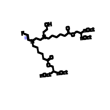 CCCCCCCCC(CCCCCCCC)COC(=O)CCCCCN(/C=C/F)CCN(CCO)CCCCCC(=O)OCC(CCCCCCCC)CCCCCCCC